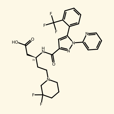 O=C(O)C[C@H](CCN1CCCC(F)(F)C1)NC(=O)c1cc(-c2ccccc2C(F)(F)F)n(-c2ccccn2)n1